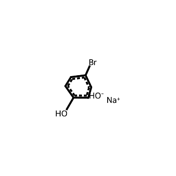 Oc1ccc(Br)cc1.[Na+].[OH-]